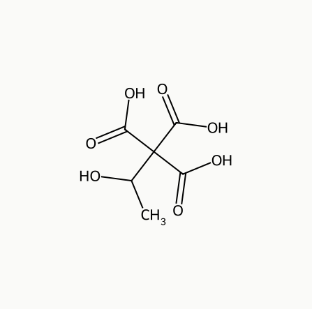 CC(O)C(C(=O)O)(C(=O)O)C(=O)O